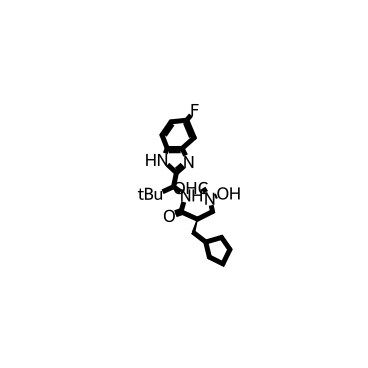 CC(C)(C)C(NC(=O)[C@H](CC1CCCC1)CN(O)C=O)c1nc2cc(F)ccc2[nH]1